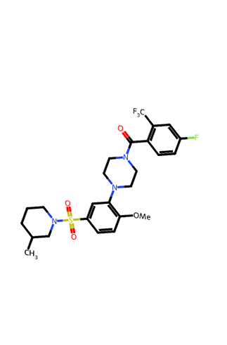 COc1ccc(S(=O)(=O)N2CCCC(C)C2)cc1N1CCN(C(=O)c2ccc(F)cc2C(F)(F)F)CC1